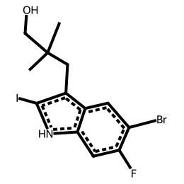 CC(C)(CO)Cc1c(I)[nH]c2cc(F)c(Br)cc12